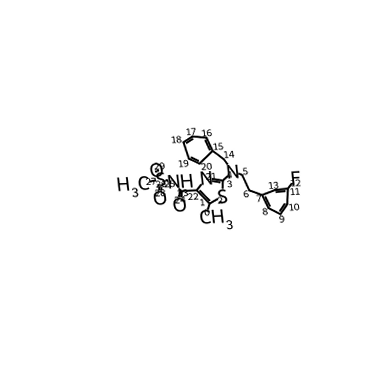 Cc1sc(N(CCc2cccc(F)c2)Cc2ccccc2)nc1C(=O)NS(C)(=O)=O